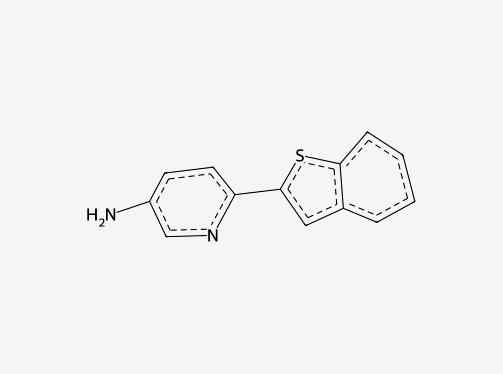 Nc1ccc(-c2cc3ccccc3s2)nc1